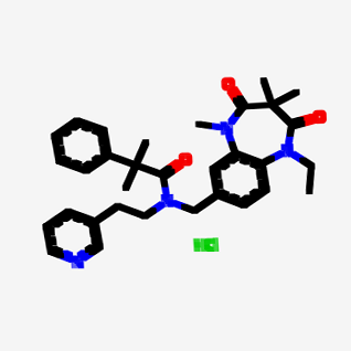 CCN1C(=O)C(C)(C)C(=O)N(C)c2cc(CN(CCc3cccnc3)C(=O)C(C)(C)c3ccccc3)ccc21.Cl